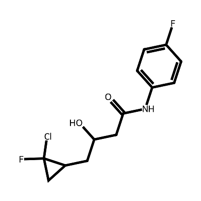 O=C(CC(O)CC1CC1(F)Cl)Nc1ccc(F)cc1